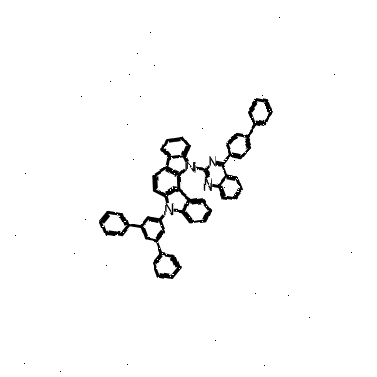 c1ccc(-c2ccc(-c3nc(-n4c5ccccc5c5ccc6c(c7ccccc7n6-c6cc(-c7ccccc7)cc(-c7ccccc7)c6)c54)nc4ccccc34)cc2)cc1